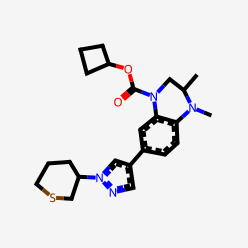 CC1CN(C(=O)OC2CCC2)c2cc(-c3cnn(C4CCCSC4)c3)ccc2N1C